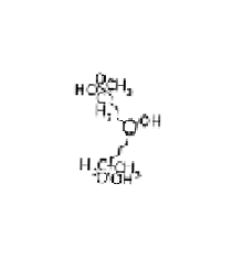 CC(C)(CCCCc1cc(O)cc(CCCCC(C)(C)C(=O)O)c1)C(=O)O